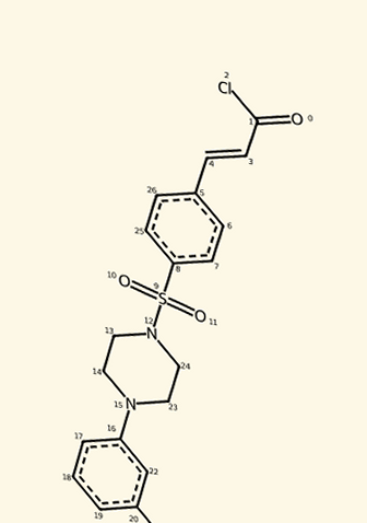 O=C(Cl)C=Cc1ccc(S(=O)(=O)N2CCN(c3cccc(C(F)(F)F)c3)CC2)cc1